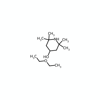 CC1(C)CC(O)CC(C)(C)N1.CCOCC